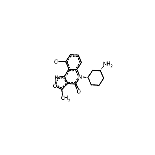 Cc1onc2c1c(=O)n([C@H]1CCC[C@@H](N)C1)c1cccc(Cl)c21